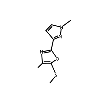 CSc1oc(-c2ccn(C)n2)nc1C